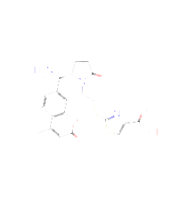 Cc1cc(=O)oc2cc(C(N)[C@H]3CCC(=O)N3CCSc3nc(C(=O)O)cs3)ccc12